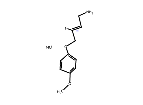 COc1ccc(OC/C(F)=C/CN)cc1.Cl